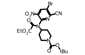 CCOC(=O)C(=O)N(c1nc(C#N)c(Br)cc1[N+](=O)[O-])C1CCN(C(=O)OC(C)(C)C)CC1